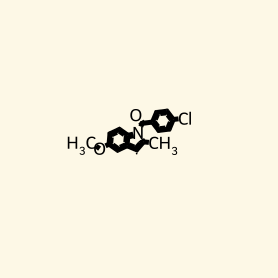 COc1ccc2c([c]c(C)n2C(=O)c2ccc(Cl)cc2)c1